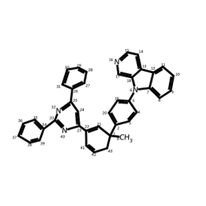 CC1(c2ccc(-n3c4ccccc4c4ccncc43)cc2)C=C(c2cc(-c3ccccc3)nc(-c3ccccc3)n2)C=CC1